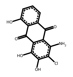 Nc1c(Cl)c(O)c(O)c2c1C(=O)c1cccc(O)c1C2=O